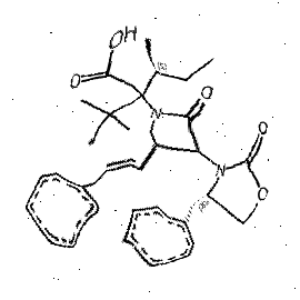 CC[C@H](C)C(C(=O)O)(N1C(=O)C(N2C(=O)OC[C@@H]2c2ccccc2)C1C=Cc1ccccc1)C(C)(C)C